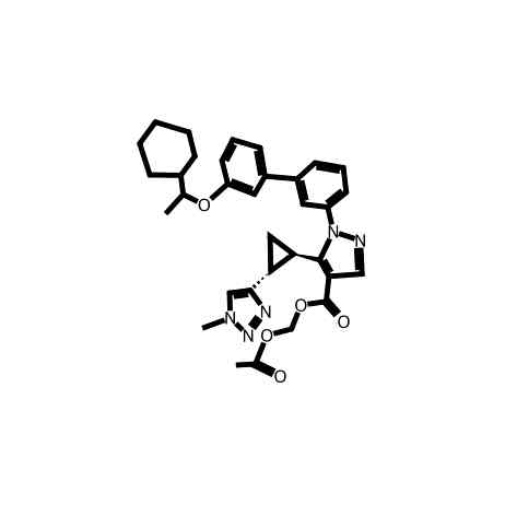 CC(=O)OCOC(=O)c1cnn(-c2cccc(-c3cccc(OC(C)C4CCCCC4)c3)c2)c1[C@@H]1C[C@H]1c1cn(C)nn1